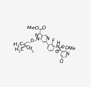 COC(=O)c1nn(COCCS(C)(C)C)c2cc(-c3cccc(NS(=O)(=O)c4cc(Cl)cnc4OC)c3F)ncc12